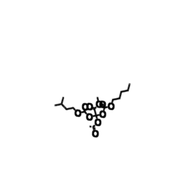 CCCCCOC(=O)OC(O[C]=O)(OC(=O)OCCC(C)C)C(=O)OC